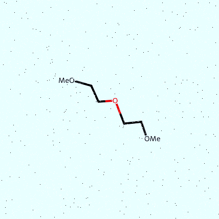 COC[CH]OCCOC